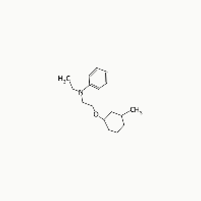 CCN(CCOC1CCCC(C)C1)c1ccccc1